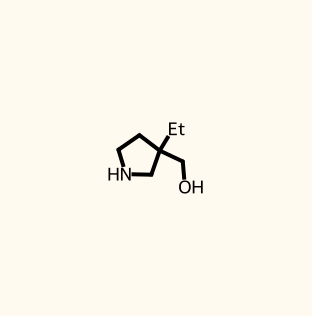 CCC1(CO)CCNC1